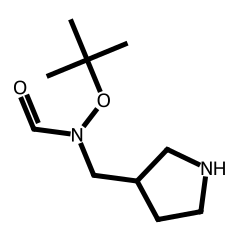 CC(C)(C)ON(C=O)CC1CCNC1